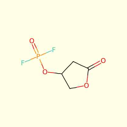 O=C1CC(OP(=O)(F)F)CO1